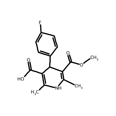 COC(=O)C1=C(C)NC(C)=C(C(=O)O)C1c1ccc(F)cc1